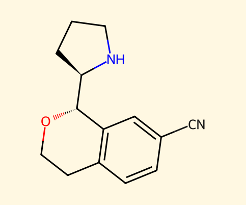 N#Cc1ccc2c(c1)[C@@H]([C@H]1CCCN1)OCC2